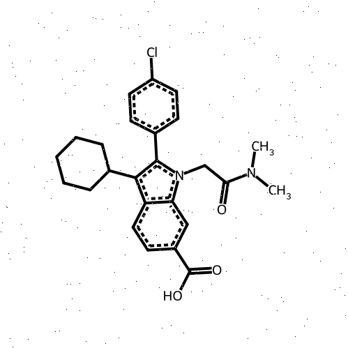 CN(C)C(=O)Cn1c(-c2ccc(Cl)cc2)c(C2CCCCC2)c2ccc(C(=O)O)cc21